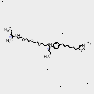 CC/C=C(/C)NCCOCCOCCOCCN/C(=C/CC)c1ccc(CCCCCCc2cn(C)nn2)cc1